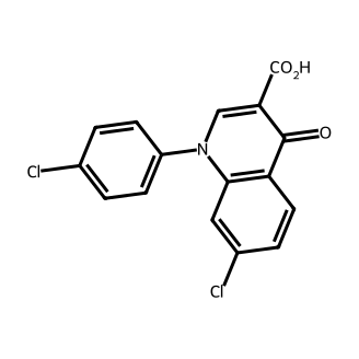 O=C(O)c1cn(-c2ccc(Cl)cc2)c2cc(Cl)ccc2c1=O